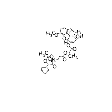 COc1ccc2c3c1O[C@@H]1C(OC(=O)[C@H](C)OC(=O)CCNC(=O)[C@@H](OC(C)=O)c4ccccc4)=CC[C@]4(O)[C@@H](CCC[C@@]314)C2